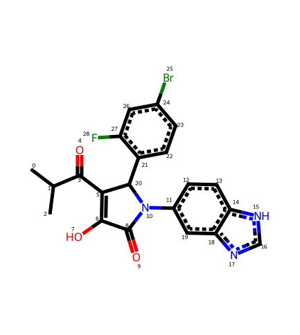 CC(C)C(=O)C1=C(O)C(=O)N(c2ccc3[nH]cnc3c2)C1c1ccc(Br)cc1F